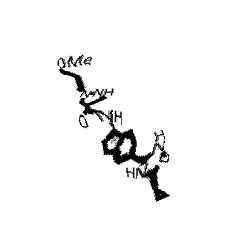 COCCCN1CC(C(=O)N[C@@H]2CCc3cc(C4NOC(C5CC5)N4)ccc32)CN1